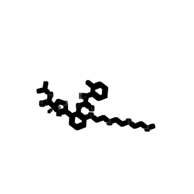 COCCOCCOCCOc1cccc(C2=N[C@@](C)(C(=O)OC(C)C)CS2)c1OC(=O)Nc1ccccc1C